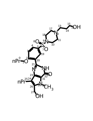 CCCOc1ccc(S(=O)(=O)N2CCN(CCCO)CC2)cc1-c1nc2c(CCC)c(CO)n(C)c2c(=O)[nH]1